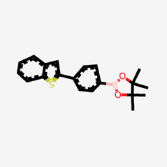 CC1(C)OB(c2ccc(-c3cc4ccccc4s3)cc2)OC1(C)C